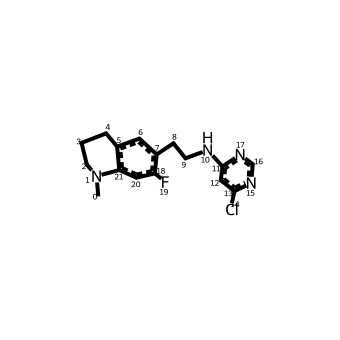 CN1CCCc2cc(CCNc3cc(Cl)ncn3)c(F)cc21